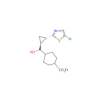 CCOC(=O)C1CCC(C(O)[C@H]2C[C@@H]2c2ncc(Br)s2)CC1